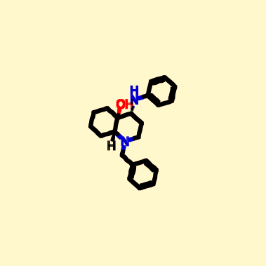 O[C@]12CCCC[C@H]1N(Cc1ccccc1)CC[C@H]2Nc1ccccc1